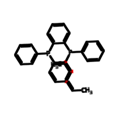 C/C=C\C=C(/C)P(c1ccccc1)c1ccccc1P(c1ccccc1)c1ccccc1